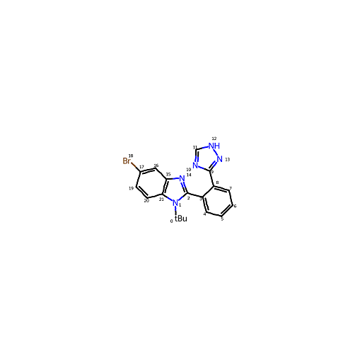 CC(C)(C)n1c(-c2ccccc2-c2nc[nH]n2)nc2cc(Br)ccc21